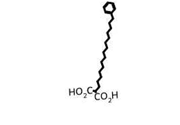 O=C(O)C(CCCCCCCCCCCCCCCc1ccccc1)C(=O)O